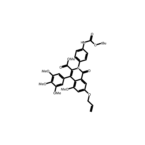 C=CCOc1cc(OC)c2c(-c3cc(OC)c(OC)c(OC)c3)c(C(=O)OC)n(-c3ccc(NC(=O)OC(C)(C)C)cc3)c(=O)c2c1